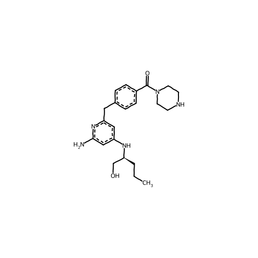 CCC[C@@H](CO)Nc1cc(N)nc(Cc2ccc(C(=O)N3CCNCC3)cc2)c1